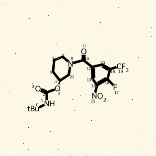 CC(C)(C)NC(=O)O[C@@H]1CCCN(C(=O)c2cc([N+](=O)[O-])c(F)c(C(F)(F)F)c2)C1